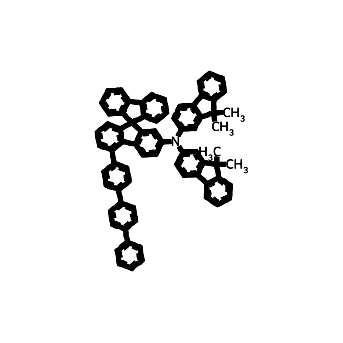 CC1(C)c2ccccc2-c2ccc(N(c3ccc4c(c3)C(C)(C)c3ccccc3-4)c3ccc4c(c3)C3(c5ccccc5-c5ccccc53)c3cccc(-c5ccc(-c6ccc(-c7ccccc7)cc6)cc5)c3-4)cc21